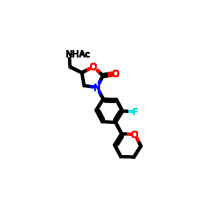 CC(=O)NCC1CN(c2ccc(C3=CCCCO3)c(F)c2)C(=O)O1